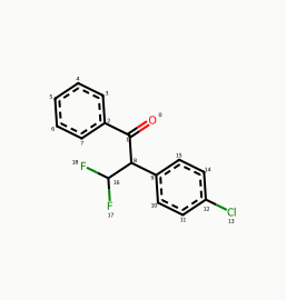 O=C(c1ccccc1)C(c1ccc(Cl)cc1)C(F)F